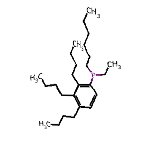 CCCCCCP(CC)c1ccc(CCCC)c(CCCC)c1CCCC